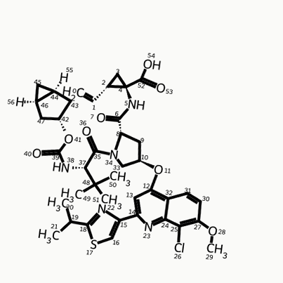 C=C[C@@H]1C[C@]1(NC(=O)[C@@H]1C[C@@H](Oc2cc(-c3csc(C(C)C)n3)nc3c(Cl)c(OC)ccc23)CN1C(=O)[C@@H](NC(=O)O[C@H]1C[C@@H]2C[C@@H]2C1)C(C)(C)C)C(=O)O